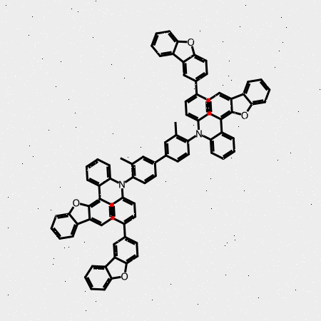 Cc1cc(-c2ccc(N(c3ccc(-c4ccc5oc6ccccc6c5c4)cc3)c3ccccc3-c3cccc4c3oc3ccccc34)c(C)c2)ccc1N(c1ccc(-c2ccc3oc4ccccc4c3c2)cc1)c1ccccc1-c1cccc2c1oc1ccccc12